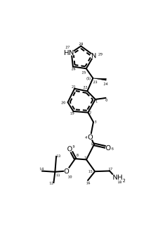 Cc1c(COC(=O)C(C(=O)OC(C)(C)C)C(C)CN)cccc1[C@H](C)c1c[nH]cn1